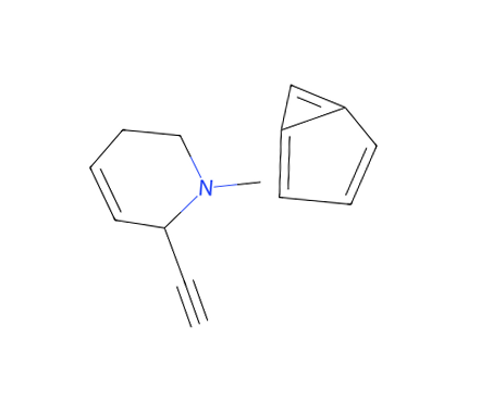 C#CC1C=CCCN1C.c1cc2cc-2c1